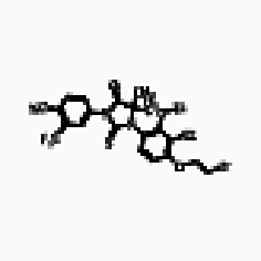 CCOc1c(N2C(=S)N(c3ccc(C#N)c(C(F)(F)F)c3)C(=O)C2(C)C)ccc(OCCBr)c1CC